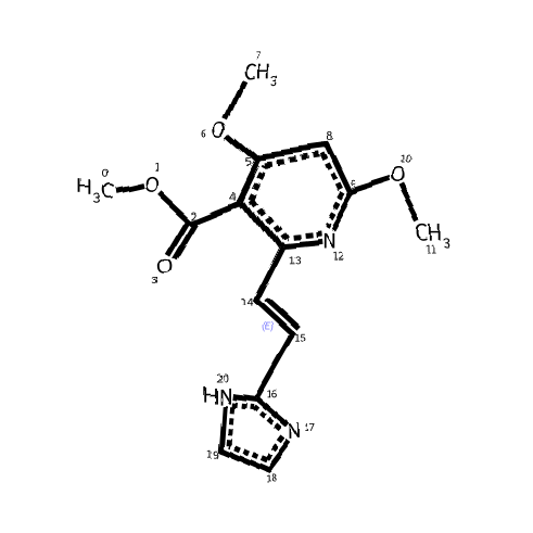 COC(=O)c1c(OC)cc(OC)nc1/C=C/c1ncc[nH]1